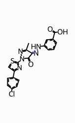 CC1=NN(c2nc(-c3ccc(Cl)cc3)cs2)C(=O)/C1=N/Nc1cccc(C(=O)O)c1